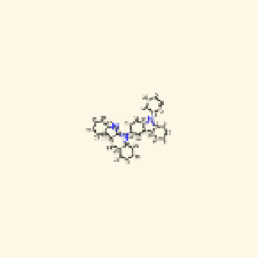 c1ccc(-n2c3ccccc3c3cc(-n4c5nc6ccccc6c-5cc5ccccc54)ccc32)cc1